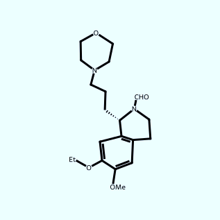 CCOc1cc2c(cc1OC)CCN(C=O)[C@H]2CCCN1CCOCC1